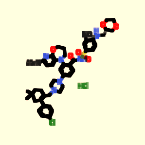 CNc1ccc2c(n1)OCCCN2c1cc(N2CCN(CC3=C(c4ccc(Cl)cc4)CC(C)(C)CC3)CC2)ccc1C(=O)NS(=O)(=O)c1ccc(NC[C@H]2COCCO2)c([N+](=O)[O-])c1.Cl